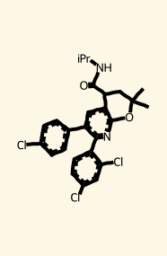 CC(C)NC(=O)C1CC(C)(C)Oc2nc(-c3ccc(Cl)cc3Cl)c(-c3ccc(Cl)cc3)cc21